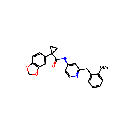 COc1ccccc1Cc1cc(NC(=O)C2(c3ccc4c(c3)OCO4)CC2)ccn1